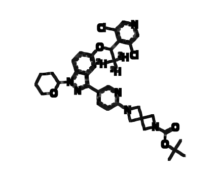 [2H]C([2H])([2H])C(Oc1ccc2c(c1)c(-c1ccc(N3CC4(CN(C(=O)OC(C)(C)C)C4)C3)nc1)nn2C1CCCCO1)c1c(Cl)cncc1Cl